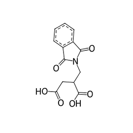 O=C(O)CC(CN1C(=O)c2ccccc2C1=O)C(=O)O